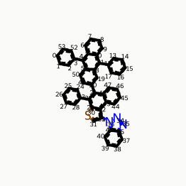 c1ccc(-c2c3ccccc3c(-c3ccccc3)c3cc(-c4c(-c5ccccc5)c5scc(-n6nnc7ccccc76)c5c5ccccc45)ccc23)cc1